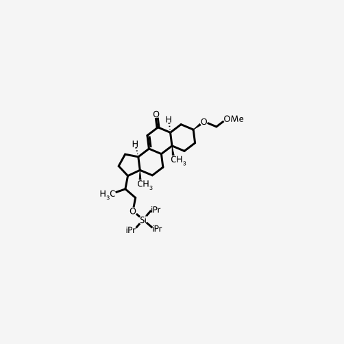 COCO[C@H]1CC[C@]2(C)C3CC[C@]4(C)C(C(C)CO[Si](C(C)C)(C(C)C)C(C)C)CC[C@H]4C3=CC(=O)[C@H]2C1